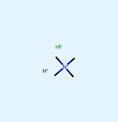 C[N+](C)(C)C.F.[H+]